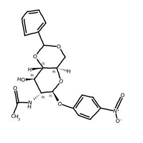 CC(=O)N[C@H]1[C@H](Oc2ccc([N+](=O)[O-])cc2)O[C@@H]2COC(c3ccccc3)O[C@H]2[C@@H]1O